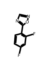 Fc1ccc(-c2ncno2)c(F)c1